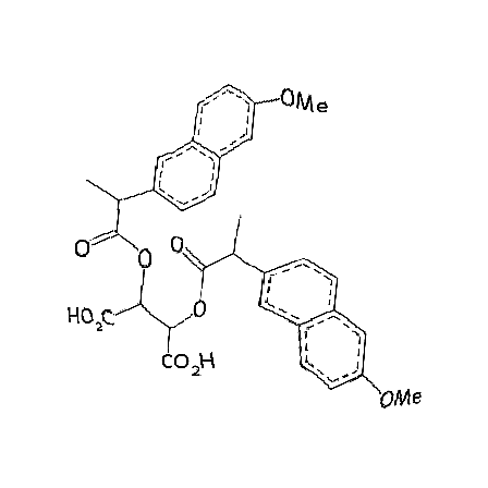 COc1ccc2cc(C(C)C(=O)OC(C(=O)O)C(OC(=O)C(C)c3ccc4cc(OC)ccc4c3)C(=O)O)ccc2c1